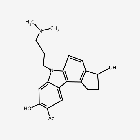 CC(=O)c1cc2c3c4c(ccc3n(CCCN(C)C)c2cc1O)C(O)CC4